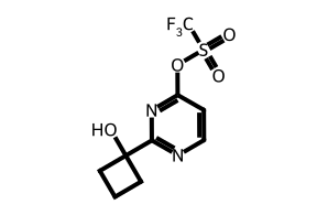 O=S(=O)(Oc1ccnc(C2(O)CCC2)n1)C(F)(F)F